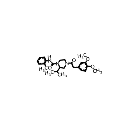 COc1ccc(CC(=O)N2CCN(C(=O)Nc3ccccc3C)C(C(C)C)C2)cc1OC